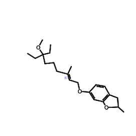 CCC(CC)(CCC/C(C)=C/COc1ccc2c(c1)OC(C)C2)OC